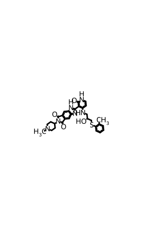 Cc1ccccc1SCC(O)CNc1cc[nH]c(=O)c1-c1nc2cc3c(cc2[nH]1)C(=O)N(C1CCN(C)CC1)C3=O